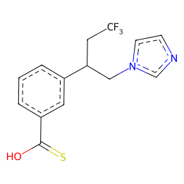 OC(=S)c1cccc(C(Cn2ccnc2)CC(F)(F)F)c1